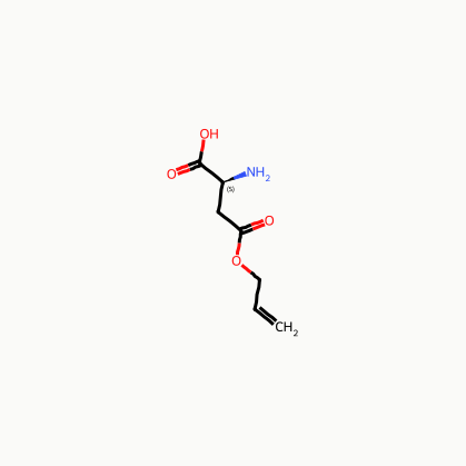 C=CCOC(=O)C[C@H](N)C(=O)O